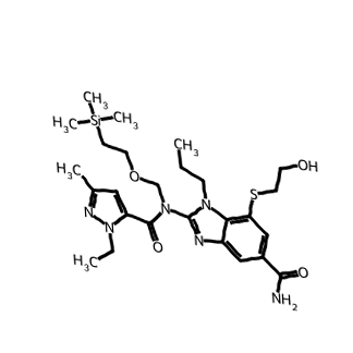 CCCn1c(N(COCC[Si](C)(C)C)C(=O)c2cc(C)nn2CC)nc2cc(C(N)=O)cc(SCCO)c21